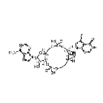 Nc1ncnc2c1ncn2[C@@H]1O[C@@H]2COP(=O)(S)O[C@@H]3[C@H](O)[C@@H](CCOP(=O)(S)O[C@H]2[C@H]1O)O[C@H]3n1cc(F)c2c(=O)[nH]cnc21